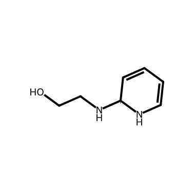 OCCN[C]1C=CC=CN1